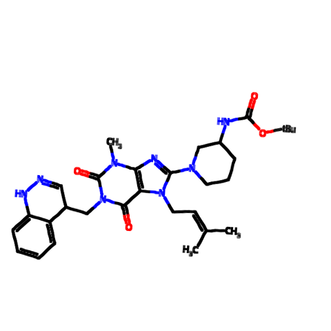 CC(C)=CCn1c(N2CCCC(NC(=O)OC(C)(C)C)C2)nc2c1c(=O)n(CC1C=NNc3ccccc31)c(=O)n2C